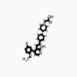 COc1ccc(F)cc1-c1ccnc2[nH]c(C3=CC[C@@H](C4CCN(CC(=O)O)CC4)CC3)cc12